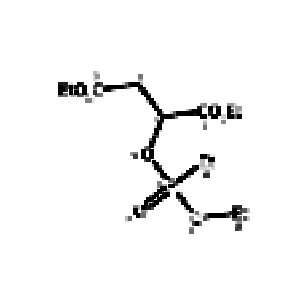 CCOC(=O)CC(OP(=O)(CC)OCC)C(=O)OCC